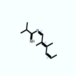 C\C=C/C(C)=C(C)/C=N\C(=N)C(C)C